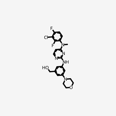 CN(c1ccnc(Nc2cc(CO)cc(N3CCOCC3)c2)n1)c1ccc(F)c(Cl)c1F